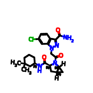 CC1(C)CCC[C@@H](NC(=O)[C@@H]2C[C@H]3C[C@H]3N2C(=O)Cn2nc(C(N)=O)c3ccc(Cl)cc32)C1